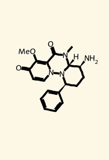 COc1c2n(ccc1=O)N1[C@H](c3ccccc3)CC[C@H](N)[C@H]1N(C)C2=O